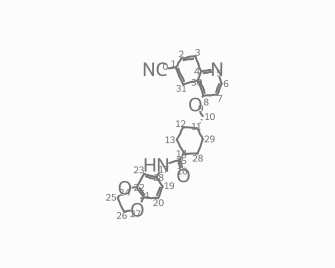 N#Cc1ccc2nccc(OC[C@H]3CC[C@H](C(=O)Nc4ccc5c(c4)OCCO5)CC3)c2c1